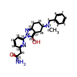 CN(Cc1ccccc1)C1CCc2nn(-c3cccc(CC(N)=O)n3)c(O)c2C1